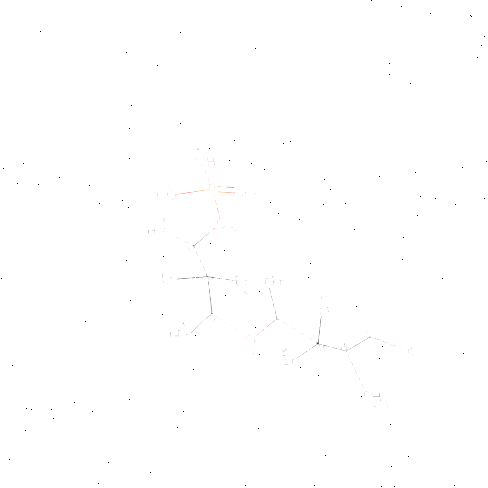 CCCC(OC(CCC)C(CC)(CC)C(C)OP(=O)(O)O)C(CC)(CC)C(C)CO